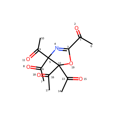 CC(=O)C1=NC(C(C)=O)(C(C)=O)C(C(C)=O)(C(C)=O)O1